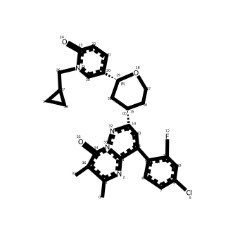 Cc1nc2c(-c3ccc(Cl)cc3F)cc([C@H]3CCO[C@@H](c4ccc(=O)n(CC5CC5)c4)C3)nn2c(=O)c1C